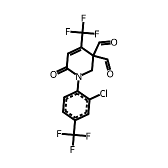 O=CC1(C=O)CN(c2ccc(C(F)(F)F)cc2Cl)C(=O)C=C1C(F)(F)F